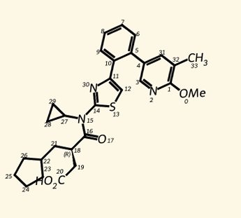 COc1ncc(-c2ccccc2-c2csc(N(C(=O)[C@@H](CC(=O)O)CC3CCCC3)C3CC3)n2)cc1C